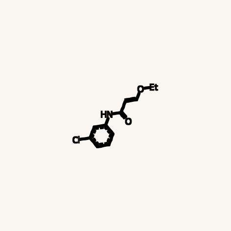 CCOC=CC(=O)Nc1cccc(Cl)c1